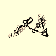 CC(F)(F)C(F)(F)C(F)(F)C(F)(F)CCn1/c(=C/C=C2\CCCC(/C=C/C3=[N+](CCC(F)(F)C(F)(F)C(F)(F)C(F)(F)F)c4cccc5cccc3c45)=C2c2ccccc2)c2cccc3cccc1c32